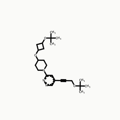 CC(C)(C)OCC#Cc1cnnc(N2CCC(OC3CC(OC(C)(C)C)C3)CC2)c1